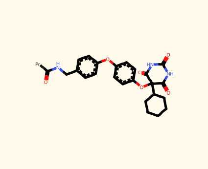 CC(C)C(=O)NCc1ccc(Oc2ccc(OC3(C4CCCCC4)C(=O)NC(=O)NC3=O)cc2)cc1